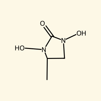 CC1CN(O)C(=O)N1O